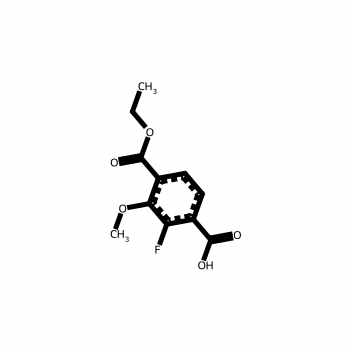 CCOC(=O)c1ccc(C(=O)O)c(F)c1OC